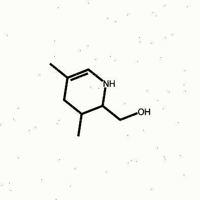 CC1=CNC(CO)C(C)C1